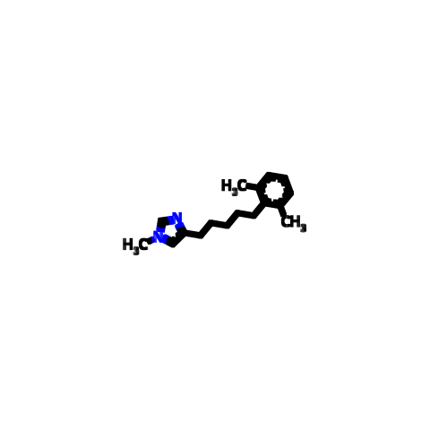 Cc1cccc(C)c1CCCCCc1cn(C)cn1